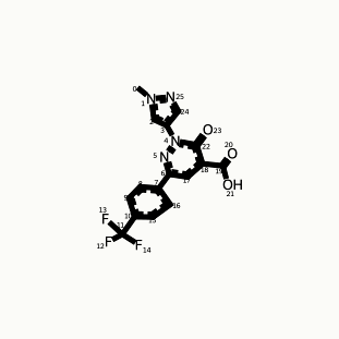 Cn1cc(-n2nc(-c3ccc(C(F)(F)F)cc3)cc(C(=O)O)c2=O)cn1